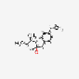 C=Cc1ccc(CC2(CC(C)CC)CO2)cc1